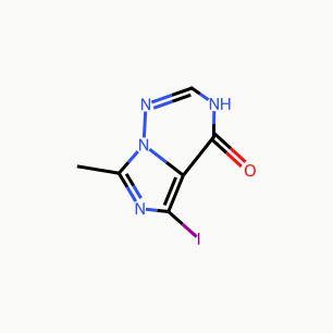 Cc1nc(I)c2c(=O)[nH]cnn12